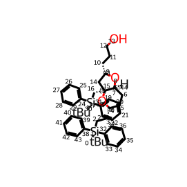 CC(C)(C)[Si](CC[C@H]1CC[C@@H]2O[C@@H](CCCO)C[C@]2(C[Si](c2ccccc2)(c2ccccc2)C(C)(C)C)O1)(c1ccccc1)c1ccccc1